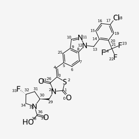 O=C1S/C(=C\c2ccc3c(cnn3Cc3ccc(Cl)cc3C(F)(F)F)c2)C(=O)N1C[C@@H]1C[C@@H](F)CN1C(=O)O